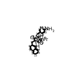 CCCS(=O)(=O)NC(Cc1ccc2ccccc2c1)C(=O)NCc1ccc(N)nc1